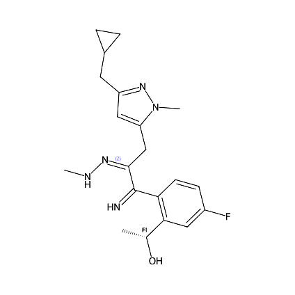 CN/N=C(/Cc1cc(CC2CC2)nn1C)C(=N)c1ccc(F)cc1[C@@H](C)O